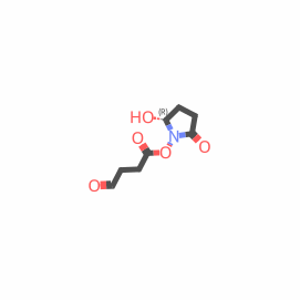 O=CCCC(=O)ON1C(=O)CC[C@H]1O